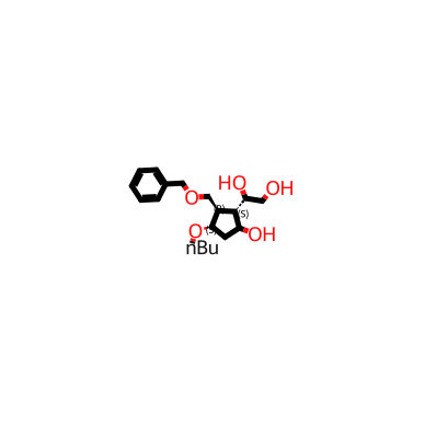 CCCCO[C@H]1CC(O)[C@@H](C(O)CO)[C@@H]1COCc1ccccc1